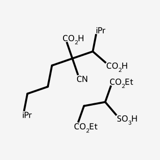 CC(C)CCCC(C#N)(C(=O)O)C(C(=O)O)C(C)C.CCOC(=O)CC(C(=O)OCC)S(=O)(=O)O